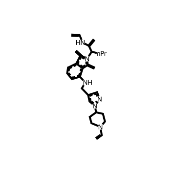 C=CNC(=C)C(CCC)n1c(=C)c2cccc(NCc3cnn(C4CCN(C=C)CC4)c3)c2c1=C